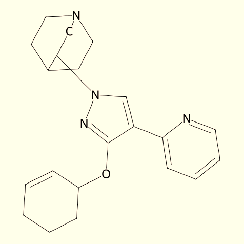 C1=CC(Oc2nn(C3CN4CCC3CC4)cc2-c2ccccn2)CCC1